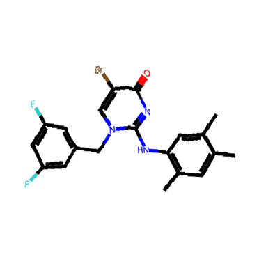 Cc1cc(C)c(Nc2nc(=O)c(Br)cn2Cc2cc(F)cc(F)c2)cc1C